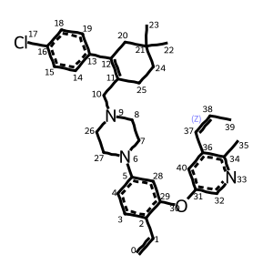 C=Cc1ccc(N2CCN(CC3=C(c4ccc(Cl)cc4)CC(C)(C)CC3)CC2)cc1Oc1cnc(C)c(/C=C\C)c1